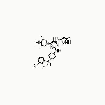 Cc1cc(Nc2cc(N3C[C@@H](C)N[C@@H](C)C3)nc(NC3CCN(C(=O)c4cccc(Cl)c4F)CC3)n2)n[nH]1